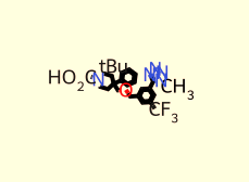 Cn1nnnc1-c1cc(COCC2(c3ccccc3)CCN(C(=O)O)C(C(C)(C)C)C2)cc(C(F)(F)F)c1